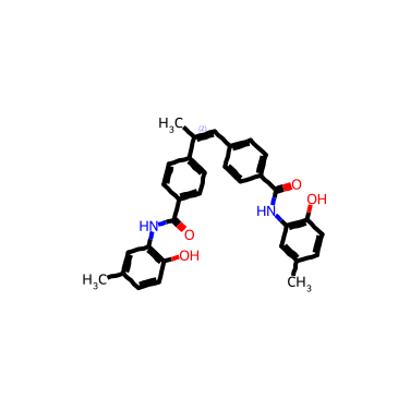 C/C(=C/c1ccc(C(=O)Nc2cc(C)ccc2O)cc1)c1ccc(C(=O)Nc2cc(C)ccc2O)cc1